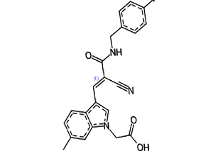 Cc1ccc2c(/C=C(\C#N)C(=O)NCc3ccc(F)cc3)cn(CC(=O)O)c2c1